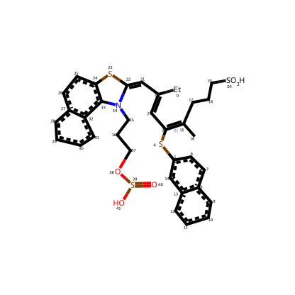 CCC(=C/C(Sc1ccc2ccccc2c1)=C(/C)CCCS(=O)(=O)O)C=C1Sc2ccc3ccccc3c2N1CCCOS(=O)O